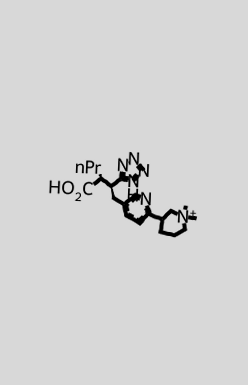 CCC[C@H](C(=O)O)[C@H](Cc1ccc(C2CCC[N+](C)(C)C2)nc1)c1nnn[nH]1